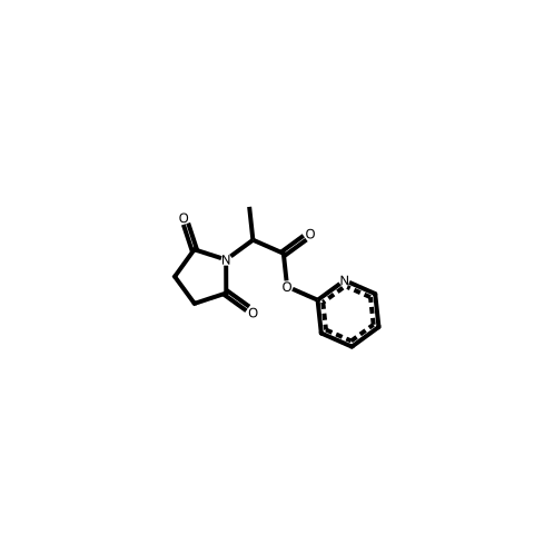 CC(C(=O)Oc1ccccn1)N1C(=O)CCC1=O